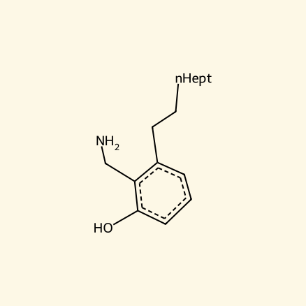 CCCCCCCCCc1cccc(O)c1CN